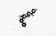 O=C(C1CCNCC1)N1CCC[C@H](Nc2ncc(Cl)c(-c3cccc(-c4ccccc4)c3)n2)C1